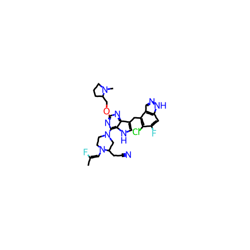 CC(F)=CN1CCN(c2nc(OCC3CCCN3C)nc3c(Cc4c(Cl)c(F)cc5[nH]ncc45)c[nH]c23)CC1CC#N